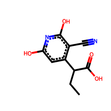 CCC(C(=O)O)c1cc(O)nc(O)c1C#N